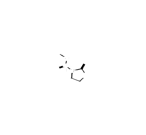 CO[PH](=O)N1CCOC1=O